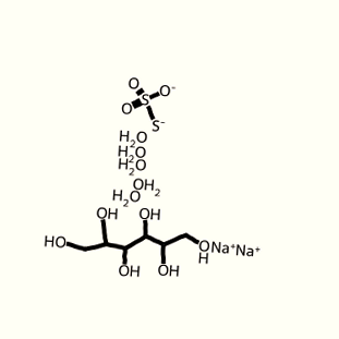 O.O.O.O.O.O=S(=O)([O-])[S-].OCC(O)C(O)C(O)C(O)CO.[Na+].[Na+]